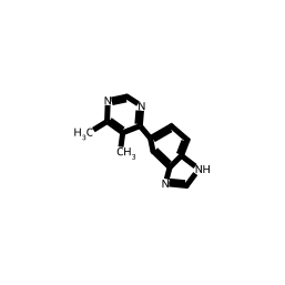 Cc1ncnc(-c2ccc3[nH]cnc3c2)c1C